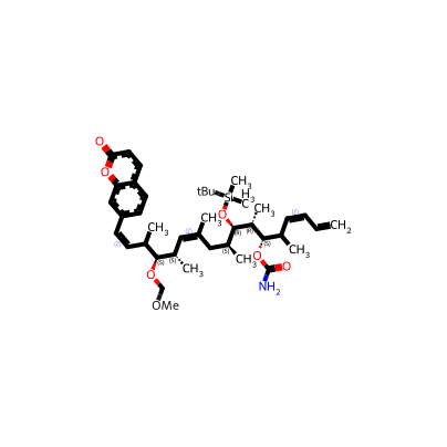 C=C/C=C\C(C)[C@H](OC(N)=O)[C@@H](C)[C@H](O[Si](C)(C)C(C)(C)C)[C@@H](C)C/C(C)=C\[C@H](C)[C@@H](OCOC)C(C)/C=C\c1ccc2ccc(=O)oc2c1